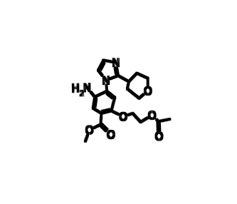 COC(=O)c1cc(N)c(-n2ccnc2C2CCOCC2)cc1OCCOC(C)=O